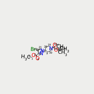 CCOC(=O)c1nn(C2CCN(C(=O)OC(C)(C)C)CC2)cc1Br